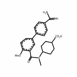 COc1ccc(-c2ccc(C(=N)N)cc2)cc1C(=O)N(C)C1CCC(C(=O)O)CC1